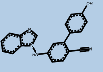 N#Cc1ccc(Nn2cnc3ccccc32)cc1-c1ccc(O)cc1